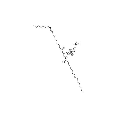 CCCCCC/C=C\C=C\CCCCCCCC(=O)O[C@H](COC(=O)CCCCCCCCCCCCCCC)COP(=O)([O-])OCC[N+](C)(C)C